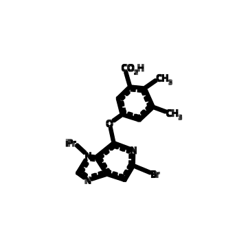 Cc1cc(Oc2nc(Br)cc3ncn(C(C)C)c23)cc(C(=O)O)c1C